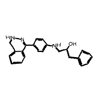 OC(CNc1ccc(C2=NNCc3ccccc32)cc1)Cc1ccccc1